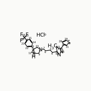 Cl.Cn1c(CCCCN2C[C@@H]3C[C@]3(c3ccc(C(F)(F)F)cc3)C2)nnc1-c1ccsc1